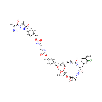 COc1ccc(C[C@H]2NC(=O)/C=C/C[C@@H]([C@H](C)[C@H]3O[C@@H]3c3ccc(COC(=O)NCCNC(=O)OCc4ccc(NC(=O)[C@H](C)NC(=O)[C@@H](N)C(C)C)cc4)cc3)OC(=O)[C@H](CC(C)C)OC(=O)C(C)(C)CNC2=O)cc1Cl